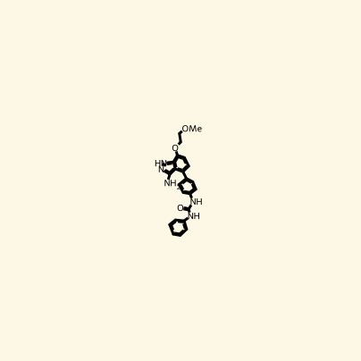 COCCOc1ccc(-c2ccc(NC(=O)Nc3ccccc3)cc2)c2c(N)n[nH]c12